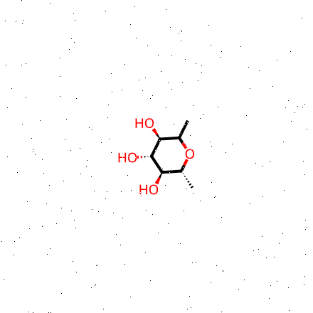 CC1O[C@H](C)[C@@H](O)[C@H](O)[C@H]1O